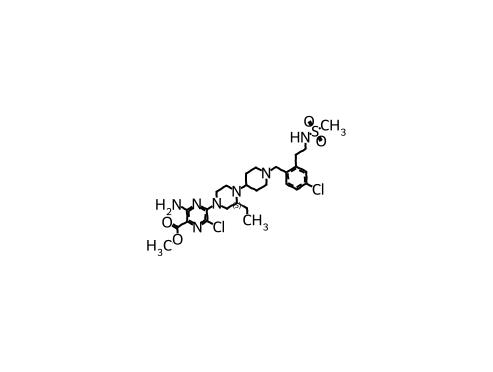 CC[C@H]1CN(c2nc(N)c(C(=O)OC)nc2Cl)CCN1C1CCN(Cc2ccc(Cl)cc2CCNS(C)(=O)=O)CC1